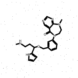 CNCCC(OCc1cccc(N2CCN(C)c3ncncc3C2=O)c1)C1=CC=CB1